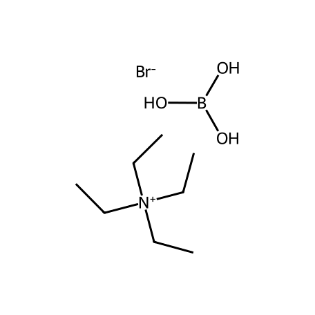 CC[N+](CC)(CC)CC.OB(O)O.[Br-]